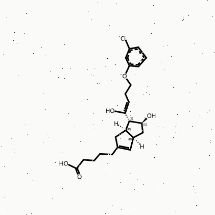 O=C(O)CCCCC1=C[C@@H]2C[C@H](O)[C@@H](C(O)=CCCOc3cccc(Cl)c3)[C@@H]2C1